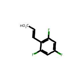 O=C(O)C=Cc1c(F)cc(F)cc1F